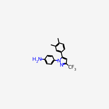 Cc1ccc(-c2cc(C(F)(F)F)nn2-c2ccc(N)cc2)cc1C